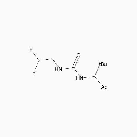 CC(=O)C(NC(=O)NCC(F)F)C(C)(C)C